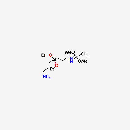 CCO[Si](CCCN)(CCCN[Si](C)(OC)OC)OCC